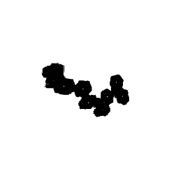 c1cc(-c2cccc(-n3c4ccccc4c4cc(-n5c6ccccc6c6ccccc65)ccc43)c2)cc(-c2ccc3sc4occc4c3c2)c1